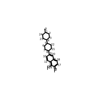 CC1CCC(C2CCC(c3ccc4c(F)c(F)ccc4c3)CC2)CC1